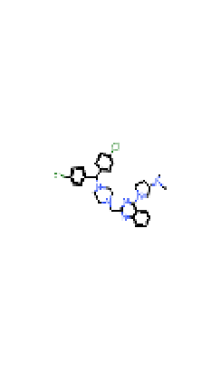 CN(C)[C@@H]1CCN(c2nc(CN3CCN(C(c4ccc(Cl)cc4)c4ccc(Cl)cc4)CC3)nc3ccccc23)C1